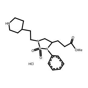 COC(=O)CCC1CN(CCC2CCNCC2)S(=O)(=O)N1c1ccccc1.Cl